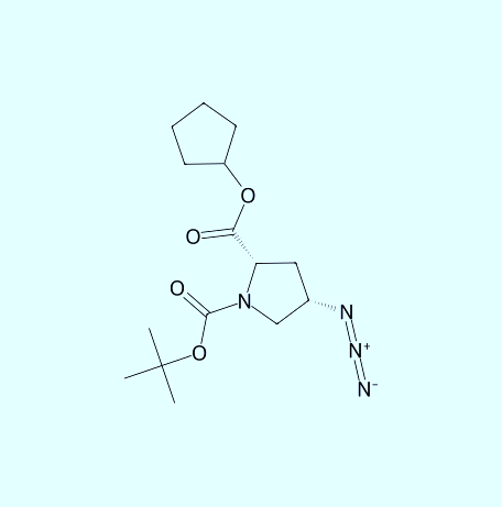 CC(C)(C)OC(=O)N1C[C@@H](N=[N+]=[N-])C[C@H]1C(=O)OC1CCCC1